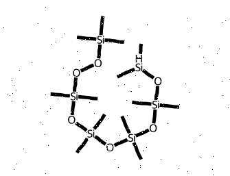 C[SiH](C)O[Si](C)(C)O[Si](C)(C)O[Si](C)(C)O[Si](C)(C)OO[Si](C)(C)C